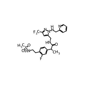 CC(C(=O)NCc1cc(C(F)(F)F)nn1NCc1ccccn1)c1ccc(CCNS(C)(=O)=O)c(F)c1